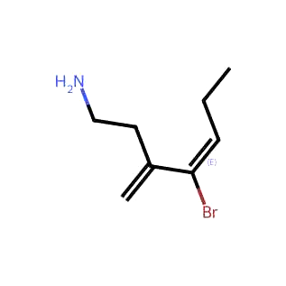 C=C(CCN)/C(Br)=C\CC